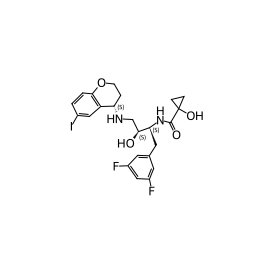 O=C(N[C@@H](Cc1cc(F)cc(F)c1)[C@@H](O)CN[C@H]1CCOc2ccc(I)cc21)C1(O)CC1